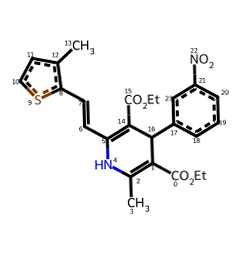 CCOC(=O)C1=C(C)NC(C=Cc2sccc2C)=C(C(=O)OCC)C1c1cccc([N+](=O)[O-])c1